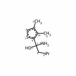 Cc1csc(C(N)(O)CC(C)C)c1C